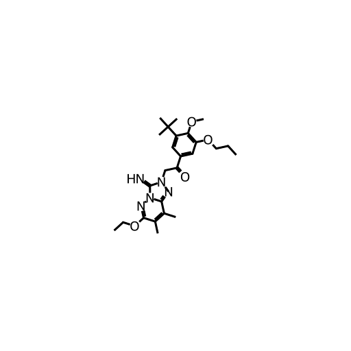 CCCOc1cc(C(=O)Cn2nc3c(C)c(C)c(OCC)nn3c2=N)cc(C(C)(C)C)c1OC